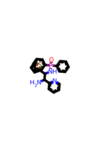 NC(c1ccccn1)C(NP(=O)(c1ccccc1)c1ccccc1)c1cccs1